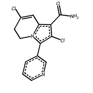 NC(=O)c1c(Cl)c(-c2cccnc2)n2c1C=C(Cl)CC2